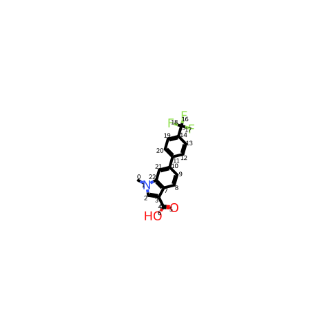 Cn1cc(C(=O)O)c2ccc(-c3ccc(C(F)(F)F)cc3)cc21